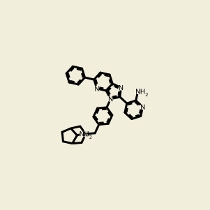 Nc1ncccc1-c1nc2ccc(-c3ccccc3)nc2n1-c1ccc(CN2CC3CCC(C2)C3N)cc1